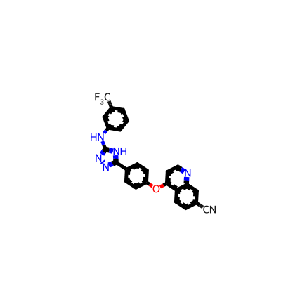 N#Cc1ccc2c(Oc3ccc(-c4nnc(Nc5cccc(C(F)(F)F)c5)[nH]4)cc3)ccnc2c1